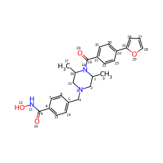 CC1CN(Cc2ccc(C(=O)NO)cc2)CC(C)N1C(=O)c1ccc(-c2ccco2)cc1